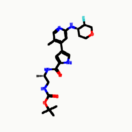 Cc1cnc(N[C@@H]2CCOC[C@@H]2F)cc1-c1c[nH]c(C(=O)N[C@@H](C)CNC(=O)OC(C)(C)C)c1